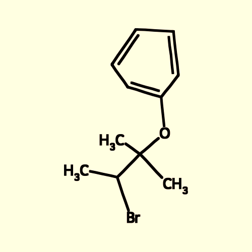 CC(Br)C(C)(C)Oc1ccccc1